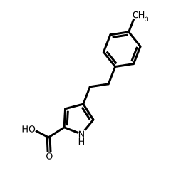 Cc1ccc(CCc2c[nH]c(C(=O)O)c2)cc1